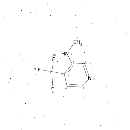 CNc1[c]nccc1C(F)(F)F